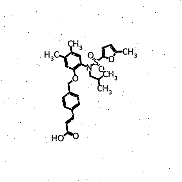 Cc1ccc(S(=O)(=O)N(CC(C)C)c2cc(C)c(C)cc2OCc2ccc(C=CC(=O)O)cc2)o1